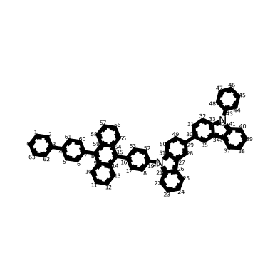 c1ccc(-c2ccc(-c3c4ccccc4c(-c4ccc(-n5c6ccccc6c6cc(-c7ccc8c(c7)c7ccccc7n8-c7ccccc7)ccc65)cc4)c4ccccc34)cc2)cc1